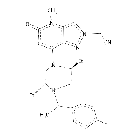 CC[C@H]1CN(C(C)c2ccc(F)cc2)[C@H](CC)CN1c1cc(=O)n(C)c2cn(CC#N)nc12